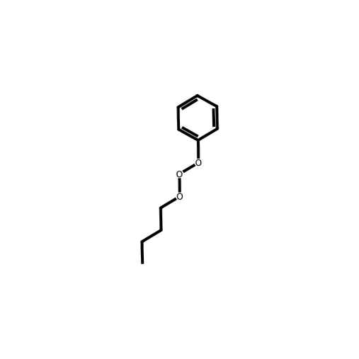 CCCCOOOc1ccccc1